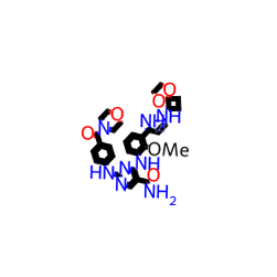 COc1c(Nc2nc(Nc3ccc(C(=O)N4CCOCC4)cc3)ncc2C(N)=O)cccc1C(=N)/C=C\NC1CCC12OCCO2